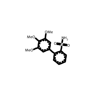 COc1cc(-c2ccccc2S(N)(=O)=O)cc(OC)c1OC